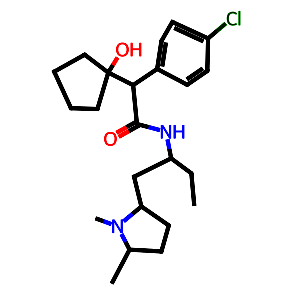 CCC(CC1CCC(C)N1C)NC(=O)C(c1ccc(Cl)cc1)C1(O)CCCC1